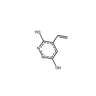 C=Cc1cc(O)nnc1O